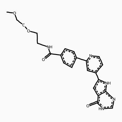 COCCOCCNC(=O)c1ccc(-c2cc(-c3cc4c(=O)[nH]cnc4[nH]3)ccn2)cc1